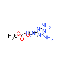 COCC(=O)OC.Nc1nc(N)nc(N)n1